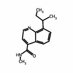 CCC(C)c1cccc2c(C(=O)NC)ccnc12